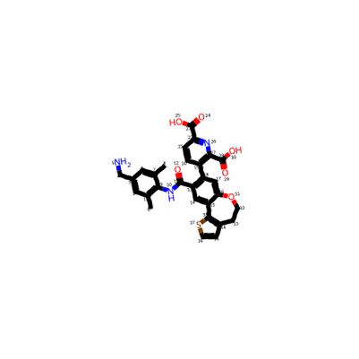 Cc1cc(CN)cc(C)c1NC(=O)c1cc2c(cc1-c1ccc(C(=O)O)nc1C(=O)O)OCCc1ccsc1-2